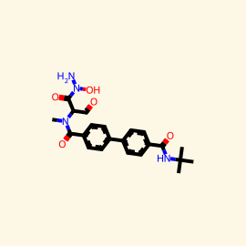 CN(C(=O)c1ccc(-c2ccc(C(=O)NC(C)(C)C)cc2)cc1)C(C=O)C(=O)N(N)O